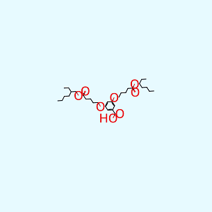 CCCCC(CC)COC(=O)CCCCOc1cc(OCCCCC(=O)OC(CC)CCCC)cc(C(=O)O)c1